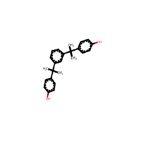 CC(C)(c1[c]ccc(C(C)(C)c2ccc(O)cc2)c1)c1ccc(O)cc1